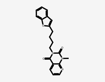 Cn1c(=O)n(CCCCc2cc3ccccc3o2)c(=O)c2cccnc21